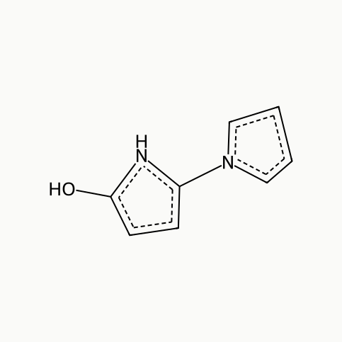 Oc1ccc(-n2cccc2)[nH]1